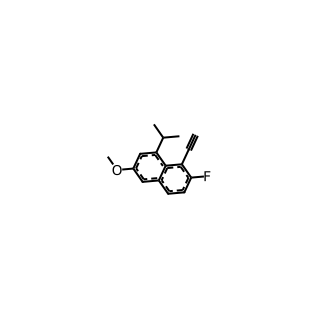 C#Cc1c(F)ccc2cc(OC)cc(C(C)C)c12